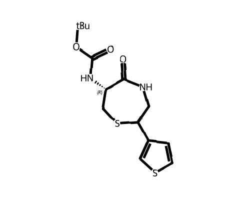 CC(C)(C)OC(=O)N[C@H]1CSC(c2ccsc2)CNC1=O